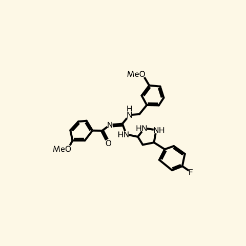 COc1cccc(CN/C(=N/C(=O)c2cccc(OC)c2)NC2CC(c3ccc(F)cc3)NN2)c1